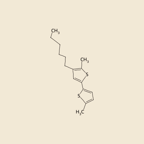 CCCCCCc1cc(-c2ccc(C)s2)sc1C